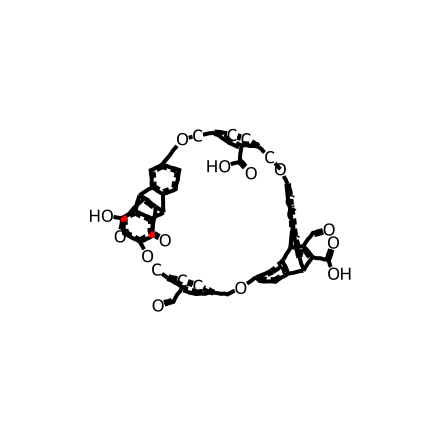 O=CC1=C(C(=O)O)C2c3ccc4cc3C1c1ccc(cc12)OCc1ccc(c(C(=O)O)c1)COc1ccc2c(c1)C1C(C(=O)O)=C(C=O)C2c2cc(ccc21)OCc1ccc(c(C=O)c1)CO4